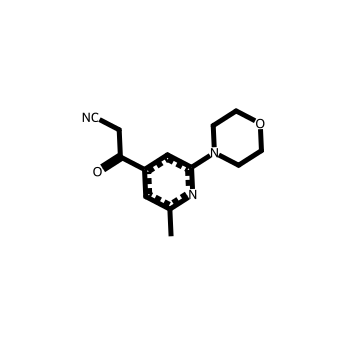 Cc1cc(C(=O)CC#N)cc(N2CCOCC2)n1